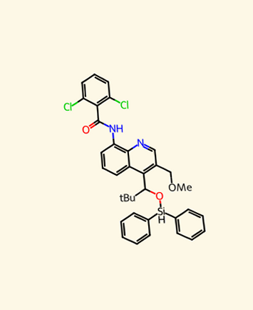 COCc1cnc2c(NC(=O)c3c(Cl)cccc3Cl)cccc2c1C(O[SiH](c1ccccc1)c1ccccc1)C(C)(C)C